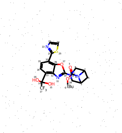 CC(C)(C)OC(=O)N1C2CC1CN(c1nc3c(C(O)(O)C(F)(F)F)ccc(-c4nccs4)c3o1)C2